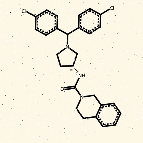 O=C(N[C@@H]1CCN(C(c2ccc(Cl)cc2)c2ccc(Cl)cc2)C1)N1CCc2ccccc2C1